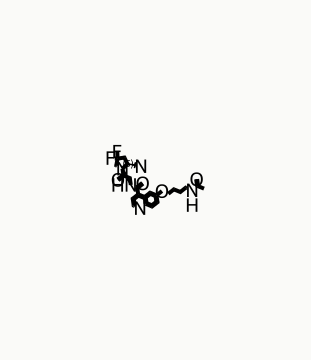 CC(=O)NCCCCOc1ccc2nccc(C(=O)NCC(=O)N3CC(F)(F)C[C@H]3C#N)c2c1